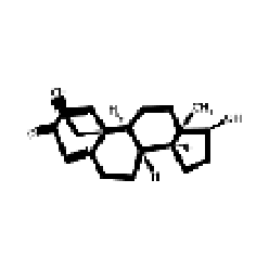 C#CC[C@]12C=CC(=O)C=C1CC[C@H]1[C@@H]3CC[C@H](O)[C@@]3(C)CC[C@@H]12